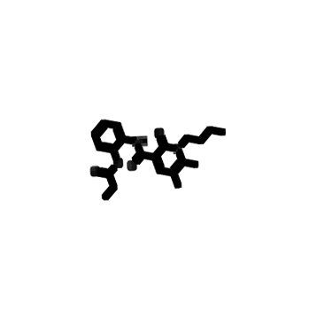 CCCCn1c(C)c(C)cc(C(=O)Nc2ccccc2OC(=O)CC)c1=O